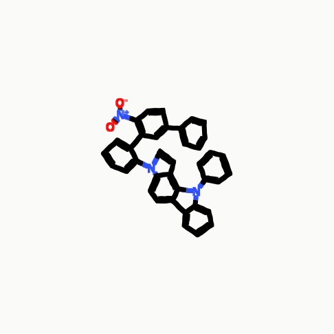 O=[N+]([O-])c1ccc(-c2ccccc2)cc1-c1ccccc1-n1ccc2c1ccc1c3ccccc3n(-c3ccccc3)c12